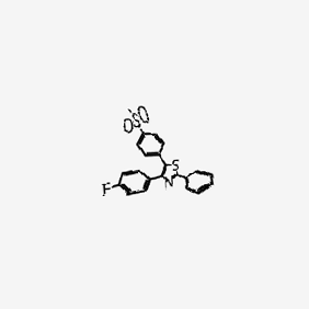 CS(=O)(=O)c1ccc(-c2sc(-c3ccccc3)nc2-c2ccc(F)cc2)cc1